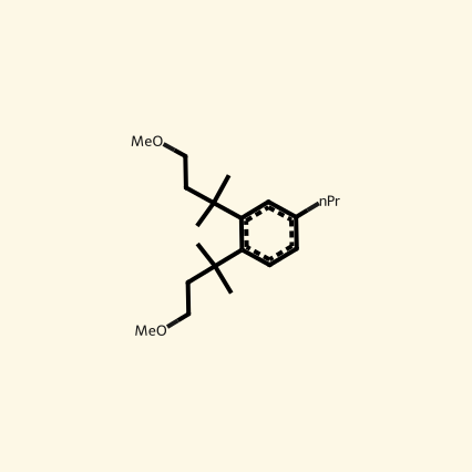 [CH2]CCc1ccc(C(C)(C)CCOC)c(C(C)(C)CCOC)c1